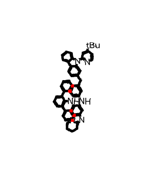 CC(C)(C)c1ccnc(-n2c3ccccc3c3ccc(Cc4cccc(Nc5cc6nc7n(c6cc5Nc5c(-c6ccccc6)cccc5-c5ccccc5)CCCC7)c4)cc32)c1